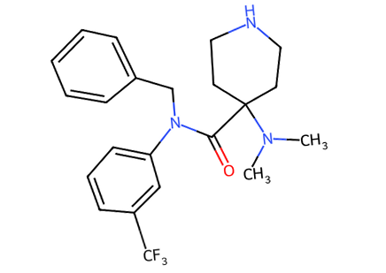 CN(C)C1(C(=O)N(Cc2ccccc2)c2cccc(C(F)(F)F)c2)CCNCC1